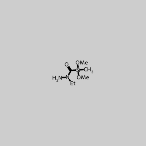 CCN(N)C(=O)[Si](C)(OC)OC